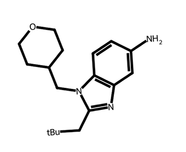 CC(C)(C)Cc1nc2cc(N)ccc2n1CC1CCOCC1